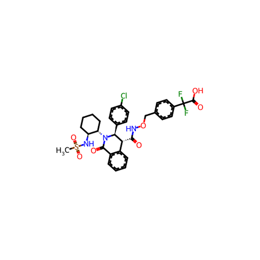 CS(=O)(=O)N[C@H]1CCCC[C@@H]1N1C(=O)c2ccccc2[C@@H](C(=O)NOCc2ccc(C(F)(F)C(=O)O)cc2)[C@@H]1c1ccc(Cl)cc1